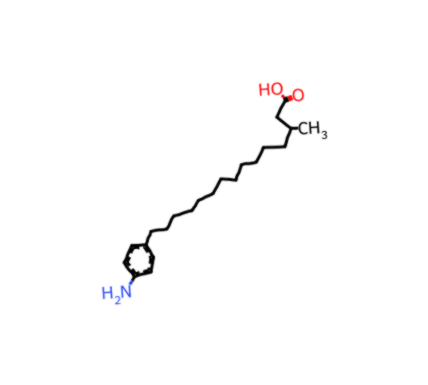 CC(CCCCCCCCCCCCc1ccc(N)cc1)CC(=O)O